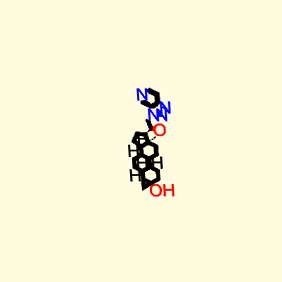 C[C@]12CC[C@@H]3[C@H]4CC[C@]5(O)CC5[C@@H]4CC[C@H]3[C@@H]1CC[C@@H]2C(=O)Cn1nnc2ccncc21